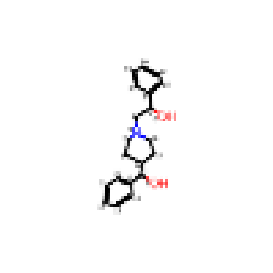 OC(CN1CCC(C(O)c2ccccc2)CC1)c1ccccc1